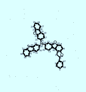 c1ccc(C2Cc3c(ccc4oc5cc(N(c6ccc7c(c6)oc6ccccc67)c6ccc7c(c6)sc6ccccc67)ccc5c34)O2)cc1